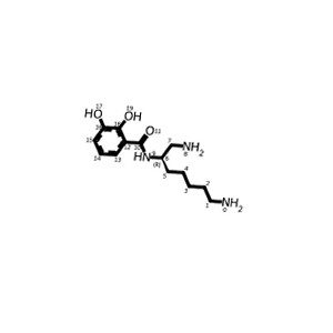 NCCCCC[C@H](CN)NC(=O)c1cccc(O)c1O